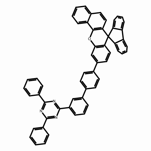 c1ccc(-c2nc(-c3ccccc3)nc(-c3cccc(-c4ccc(-c5ccc6c(c5)Oc5c(ccc7ccccc57)C65c6ccccc6-c6ccccc65)cc4)c3)n2)cc1